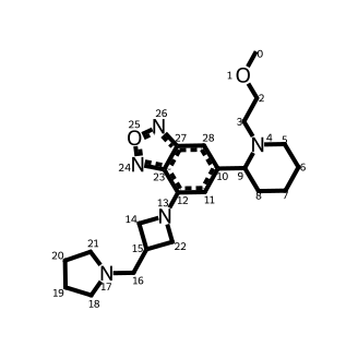 COCCN1CCCCC1c1cc(N2CC(CN3CCCC3)C2)c2nonc2c1